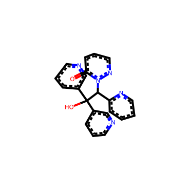 O=c1cccnn1C(c1ccccn1)C(O)(c1cccnc1)c1cccnc1